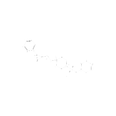 O=S(=O)(CC1CCNCC1)N1CCC(F)(CNC2CC2c2ccccc2)CC1